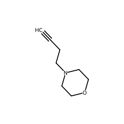 C#CCCN1CCOCC1